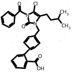 CC(C)CCc1c(Cl)n(C(=O)c2ccccc2)c(=O)n1Cc1ccc(-c2ccccc2C(=O)O)cc1